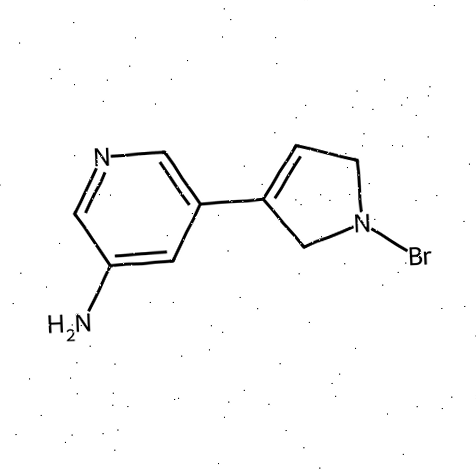 Nc1cncc(C2=CCN(Br)C2)c1